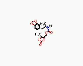 CCN(C(=O)OCc1oc(=O)oc1C)C(C)Cc1ccc2c(c1)OCO2